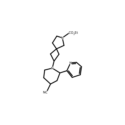 CCOC(=O)N1CCC2(CC(N3CCC(C#N)CC3c3ccccn3)C2)C1